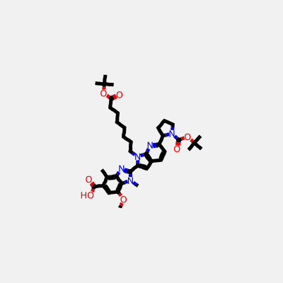 COc1cc(C(=O)O)c(C)c2nc(-c3cc4ccc(C5CCCN5C(=O)OC(C)(C)C)nc4n3CCCCCCCC(=O)OC(C)(C)C)n(C)c12